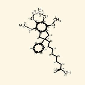 COc1c2c(c(OC)c(OC)c1OC)CC(CCCCCCCC(=O)O)(c1ccccc1)C2